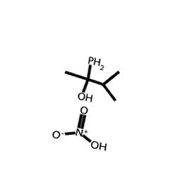 CC(C)C(C)(O)P.O=[N+]([O-])O